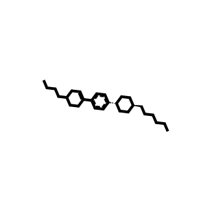 CCCCCC[C@H]1CC[C@H](c2ccc(C3=CCC(CCCC)CC3)cc2)CC1